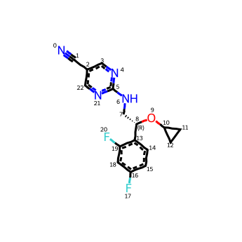 N#Cc1cnc(NC[C@H](OC2CC2)c2ccc(F)cc2F)nc1